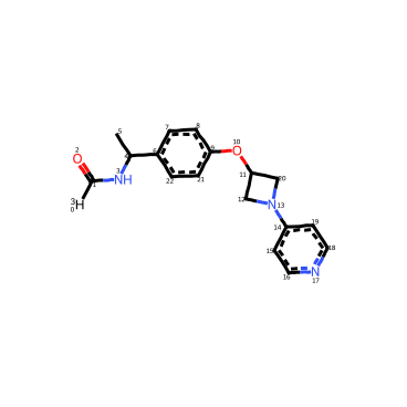 [3H]C(=O)NC(C)c1ccc(OC2CN(c3ccncc3)C2)cc1